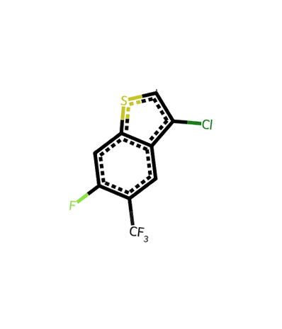 Fc1cc2s[c]c(Cl)c2cc1C(F)(F)F